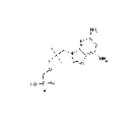 CC(C)(COCP(=O)(O)O)Cn1cnc2c(N)nc(N)nc21